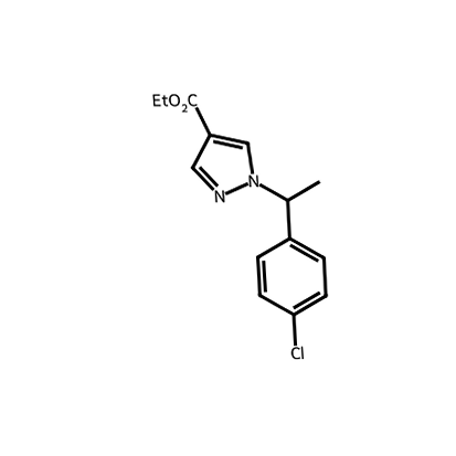 CCOC(=O)c1cnn(C(C)c2ccc(Cl)cc2)c1